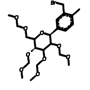 COCOCC1O[C@@H](c2ccc(C)c(CBr)c2)C(OCOC)C(OCOC)[C@@H]1OCOC